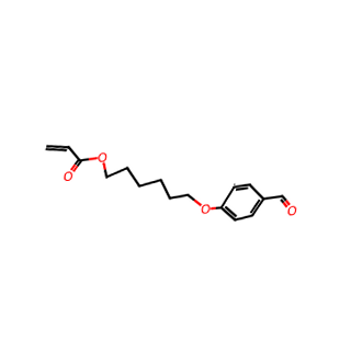 C=CC(=O)OCCCCCCOc1[c]cc(C=O)cc1